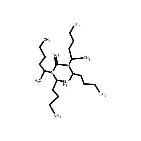 CCCCC(C)N(C(=N)N(C(C)CCCC)C(C)CCCC)C(C)CCCC